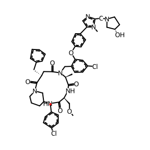 COC[C@@H]1NC(=O)[C@H](C)N(Cc2ccc(Cl)cc2Oc2ccc(-c3cnc(CN4CC[C@H](O)C4)n3C)cc2)C(=O)C[C@@H](Cc2ccccc2)C(=O)N2CCC[C@@](Cc3ccc(Cl)cc3)(C2)NC1=O